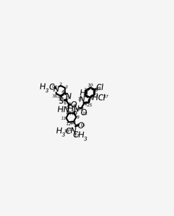 CN1CCc2nc(C(=O)N[C@@H]3CC[C@H](C(=O)N(C)C)C[C@@H]3NC(=O)c3cc4cc(Cl)ccc4[nH]3)sc2C1.Cl